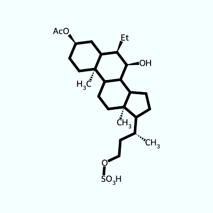 CC[C@@H]1C2C[C@H](OC(C)=O)CC[C@]2(C)C2CC[C@@]3(C)C(CCC3[C@H](C)CCOS(=O)(=O)O)C2[C@@H]1O